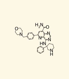 NC(=O)c1cc(-c2ccc(CN3CCOCC3)cc2)nc2c(N[C@]3(c4ccccc4)CCCNC3)ncnc12